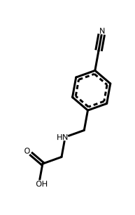 N#Cc1ccc(CNCC(=O)O)cc1